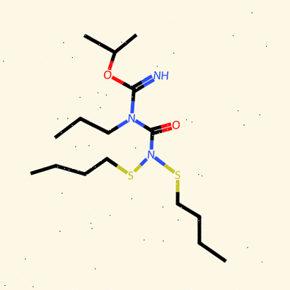 CCCCSN(SCCCC)C(=O)N(CCC)C(=N)OC(C)C